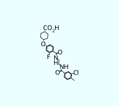 Cc1ccc(C(=O)NCCNC(=O)c2ccc(O[C@H]3CC[C@@H](C(=O)O)CC3)cc2F)cc1Cl